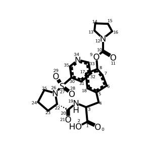 O=C(O)C(Cc1ccc(OC(=O)N2CCCC2)cc1)NC(=O)[C@@H]1CCCN1S(=O)(=O)c1cccnc1